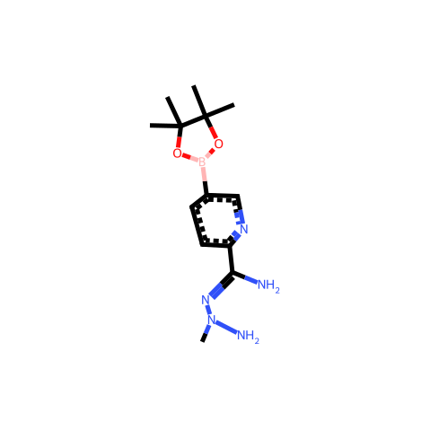 CN(N)/N=C(\N)c1ccc(B2OC(C)(C)C(C)(C)O2)cn1